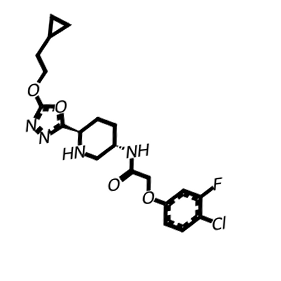 O=C(COc1ccc(Cl)c(F)c1)N[C@H]1CC[C@H](c2nnc(OCCC3CC3)o2)NC1